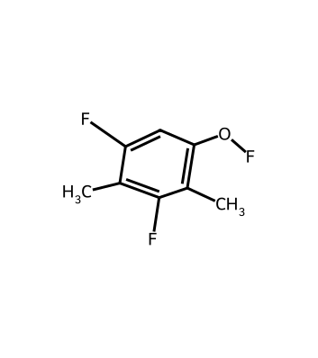 Cc1c(F)cc(OF)c(C)c1F